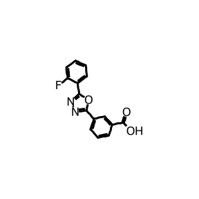 O=C(O)c1cccc(-c2nnc(-c3ccccc3F)o2)c1